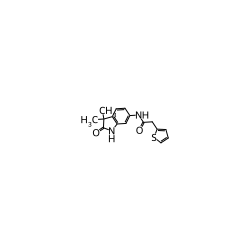 CC1(C)C(=O)Nc2cc(NC(=O)Cc3cccs3)ccc21